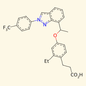 CCc1cc(OC(C)c2cccc3cn(-c4ccc(C(F)(F)F)cc4)nc23)ccc1CCC(=O)O